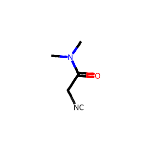 [C-]#[N+]CC(=O)N(C)C